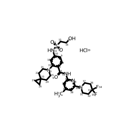 Cc1cc(NC(=O)c2ccc(NS(=O)(=O)CCO)cc2N2CCC3(CC2)CC3)nc(N2CCC(F)(F)CC2)c1.Cl